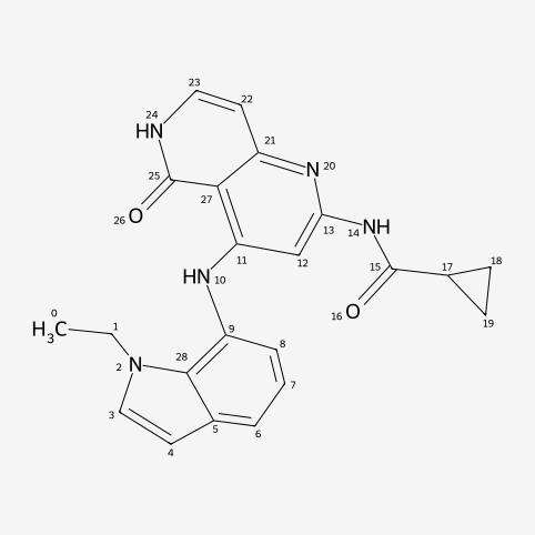 CCn1ccc2cccc(Nc3cc(NC(=O)C4CC4)nc4cc[nH]c(=O)c34)c21